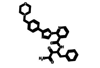 NC(=O)C(=O)C(Cc1ccccc1)NC(=O)c1cccnc1-n1cnc(-c2ccc(CN3CCOCC3)cc2)c1